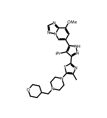 COc1cc(-c2[nH]nc(-c3nc(C)c(N4CCN(CC5CCOCC5)CC4)s3)c2C(C)C)cn2ncnc12